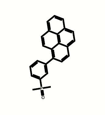 CP(C)(=O)c1cccc(-c2ccc3ccc4cccc5ccc2c3c45)c1